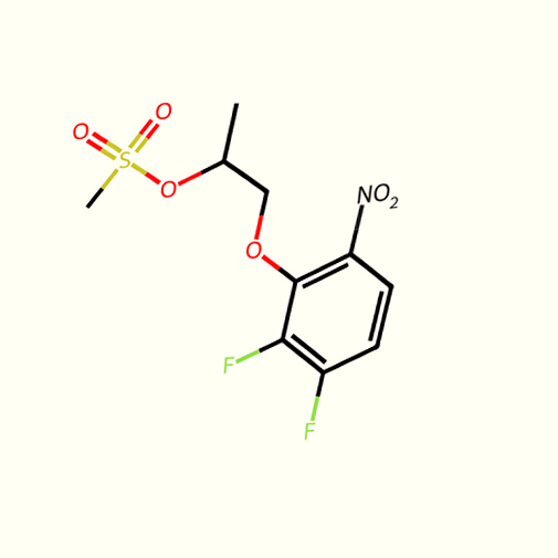 CC(COc1c([N+](=O)[O-])ccc(F)c1F)OS(C)(=O)=O